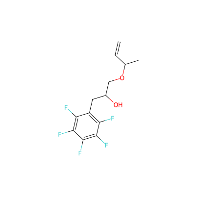 C=CC(C)OCC(O)Cc1c(F)c(F)c(F)c(F)c1F